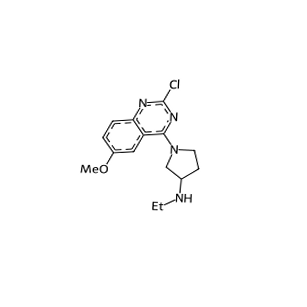 CCNC1CCN(c2nc(Cl)nc3ccc(OC)cc23)C1